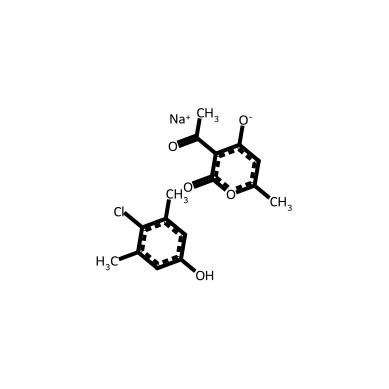 CC(=O)c1c([O-])cc(C)oc1=O.Cc1cc(O)cc(C)c1Cl.[Na+]